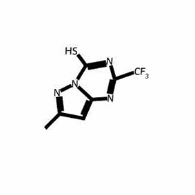 Cc1cc2nc(C(F)(F)F)nc(S)n2n1